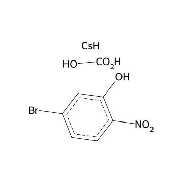 O=C(O)O.O=[N+]([O-])c1ccc(Br)cc1O.[CsH]